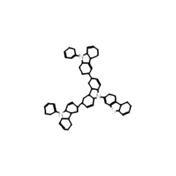 C1=CCCC(N2C3CCC(C4C=CC5C(C4)C4CC(C6C=CC7C(C6)C6CCC=CC6N7C6=CC=CCC6)C=CC4N5C4=CC5=C(CC4)C4CCC=CC4S5)C=C3C3CCC=CC32)=C1